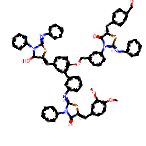 COCc1ccc(/C=C2\S/C(=N\c3ccccc3)N(c3cccc(COc4ccc(/C=C5\S/C(=N\c6ccccc6)N(c6ccccc6)C5O)cc4-c4cccc(/N=C5\S/C(=C\c6ccc(OC)c(OC)c6)C(=O)N5c5ccccc5)c4)c3)C2=O)cc1